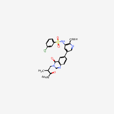 CNC(=O)C(C)Cn1cnc2ccc(-c3cnc(OC)c(NS(=O)(=O)c4cccc(Cl)c4)c3)cc2c1=O